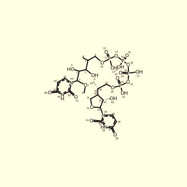 COC(C(O)C(O)C(C)COP(=O)(O)OP(=O)(O)OP(=O)(O)OP(=O)(O)OC[C@@H](C)C1COC(n2ccc(=O)[nH]c2=O)[C@H]1O)n1ccc(=O)[nH]c1=O